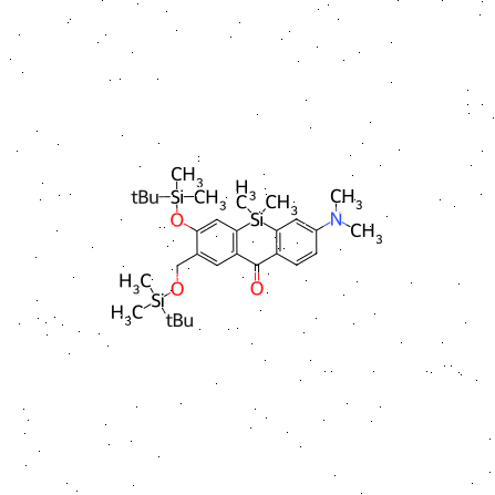 CN(C)c1ccc2c(c1)[Si](C)(C)c1cc(O[Si](C)(C)C(C)(C)C)c(CO[Si](C)(C)C(C)(C)C)cc1C2=O